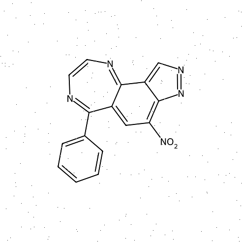 O=[N+]([O-])c1cc2c(-c3ccccc3)nccnc2c2cnnc12